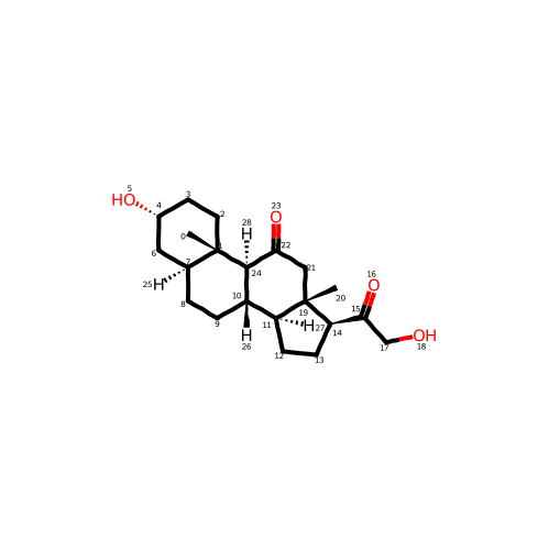 C[C@]12CC[C@@H](O)C[C@@H]1CC[C@H]1[C@@H]3CC[C@H](C(=O)CO)[C@@]3(C)CC(=O)[C@@H]12